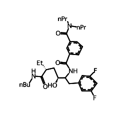 CCCCNC(=O)[C@H](CC)C[C@H](O)C(Cc1cc(F)cc(F)c1)NC(=O)c1cccc(C(=O)N(CCC)CCC)c1